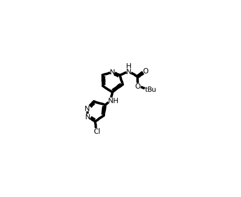 CC(C)(C)OC(=O)Nc1cc(Nc2cnnc(Cl)c2)ccn1